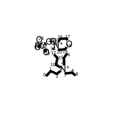 CCC[N+](CCC)(CCC)CCC.C[N+]1([O-])CCOCC1.[O]=[Ru](=[O])(=[O])[O-]